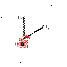 CCCCCCCCCCCCCCCC(=O)OC[C@H](COP(=O)(O)OC1[C@@H](O)[C@H](O)C(O)[C@@H](O)[C@@H]1O)OC(=O)CCCCCCCCCCCCCCC